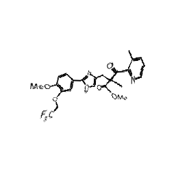 COC(=O)C(C)(Cc1coc(-c2ccc(OC)c(OCC(F)(F)F)c2)n1)C(=O)c1ncccc1C